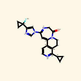 O=C1CN=C(n2cnc(C3(F)CC3)c2)C=C2c3ccnc(C4CC4)c3CCN12